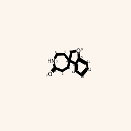 O=C1CCC2(CCN1)COc1ccccc12